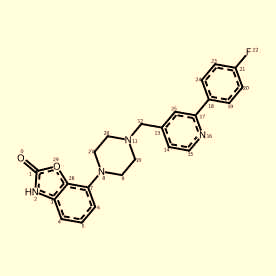 O=c1[nH]c2cccc(N3CCN(Cc4ccnc(-c5ccc(F)cc5)c4)CC3)c2o1